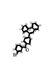 O=C(c1ccc(-c2cc3ccccc3c3ccccc23)cc1)c1cccc(Br)c1